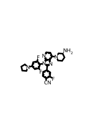 N#Cc1ccc(-c2nc3c(N4CCC[C@@H](N)C4)ccnc3n2-c2c(F)cc(N3CCCC3)cc2F)cc1F